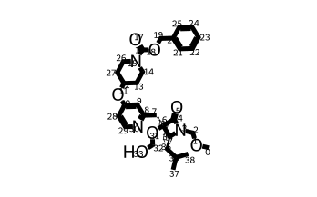 COCN1C(=O)[C@](Cc2cc(OC3CCN(C(=O)OCc4ccccc4)CC3)ccn2)(OCO)[C@@H]1CC(C)C